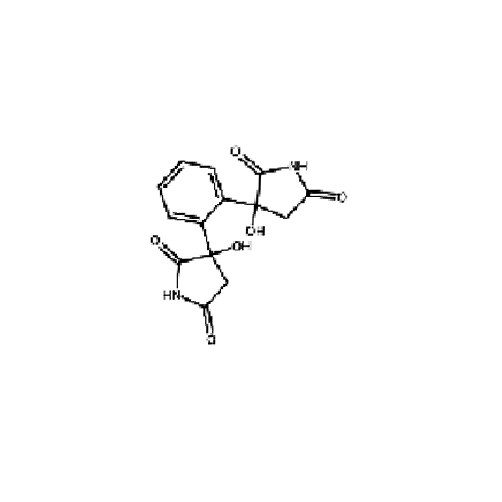 O=C1CC(O)(c2ccccc2C2(O)CC(=O)NC2=O)C(=O)N1